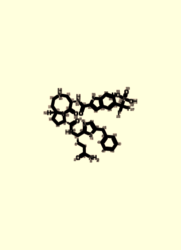 NC(=O)CC[C@H](NC(=O)[C@@H]1CC[C@@H]2CCNC[C@H](NC(=O)c3cc4cc(C(F)(F)P(=O)(O)O)ccc4s3)C(=O)N21)c1ncc(Cc2ccccc2)s1